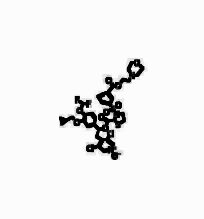 O=C(OCCN1CCOCC1)c1cccc(S(=O)(=O)N2CCS[C@H]2C(=O)O[C@@H](Cc2c(Cl)c[n+]([O-])cc2Cl)c2ccc(OC(F)F)c(OCC3CC3)c2)c1